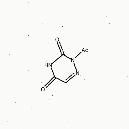 CC(=O)n1ncc(=O)[nH]c1=O